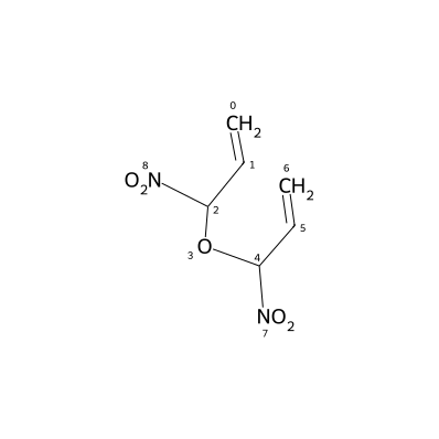 C=CC(OC(C=C)[N+](=O)[O-])[N+](=O)[O-]